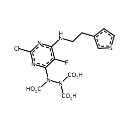 O=C(O)N(C(=O)O)N(C(=O)O)c1nc(Cl)nc(NCCc2ccsc2)c1F